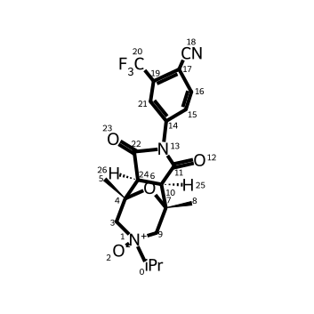 CC(C)[N+]1([O-])C[C@@]2(C)O[C@@](C)(C1)[C@@H]1C(=O)N(c3ccc(C#N)c(C(F)(F)F)c3)C(=O)[C@@H]12